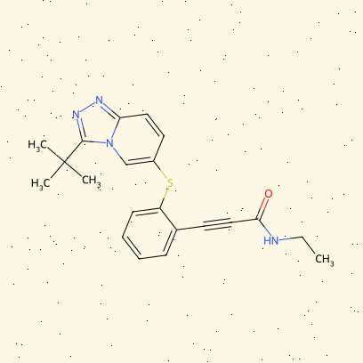 CCNC(=O)C#Cc1ccccc1Sc1ccc2nnc(C(C)(C)C)n2c1